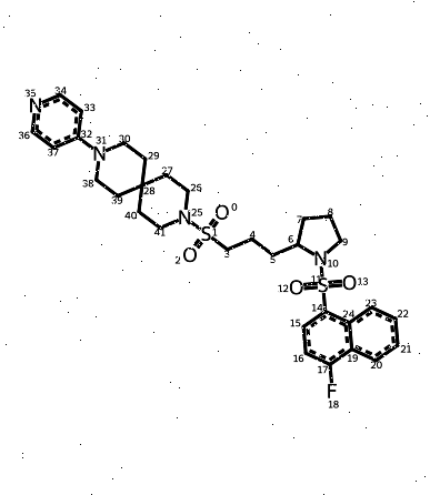 O=S(=O)(CCCC1CCCN1S(=O)(=O)c1ccc(F)c2ccccc12)N1CCC2(CCN(c3ccncc3)CC2)CC1